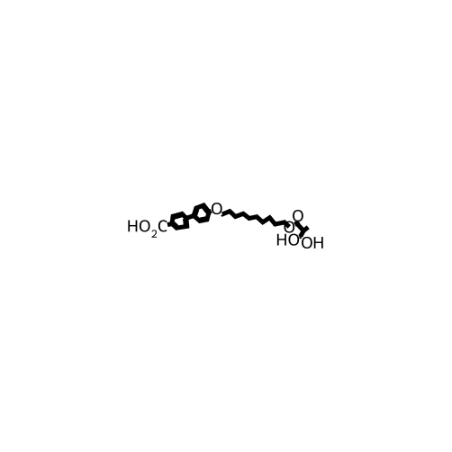 CC(C(=O)OCCCCCCCCCCOc1ccc(-c2ccc(C(=O)O)cc2)cc1)C(O)O